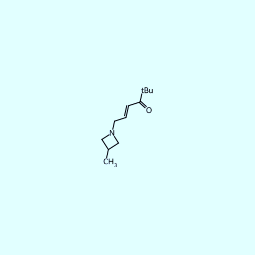 CC1CN(C/C=C/C(=O)C(C)(C)C)C1